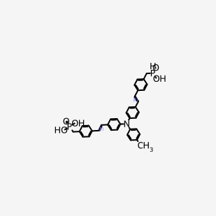 Cc1ccc(N(c2ccc(/C=C/c3ccc(C[PH](=O)O)cc3)cc2)c2ccc(/C=C/c3ccc(CP(=O)(O)O)cc3)cc2)cc1